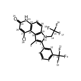 Cc1c(-c2cccc(C(F)(F)F)c2)n(CC(F)(F)F)c2ccc3[nH]c(=O)cc(Cl)c3c12